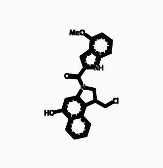 COc1cccc2[nH]c(C(=O)N3CC(CCl)c4c3cc(O)c3ccccc43)cc12